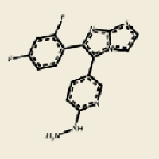 NNc1ccc(-c2c(-c3ccc(F)cc3F)nc3sccn23)cn1